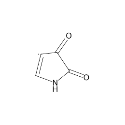 O=C1[C]=CNC1=O